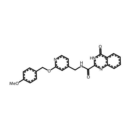 COc1ccc(COc2cc(CNC(=O)c3nc4ccccc4c(=O)[nH]3)ccn2)cc1